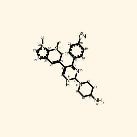 CN1CC(C2=CNC(N3CCC(N)CC3)N=C2c2ccc(C#N)cc2)=Cc2ncn(C)c21